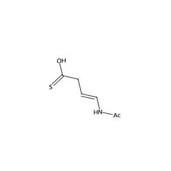 CC(=O)NC=CCC(O)=S